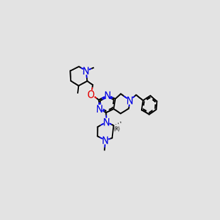 CC1CCCN(C)C1COc1nc2c(c(N3CCN(C)C[C@H]3C)n1)CCN(Cc1ccccc1)C2